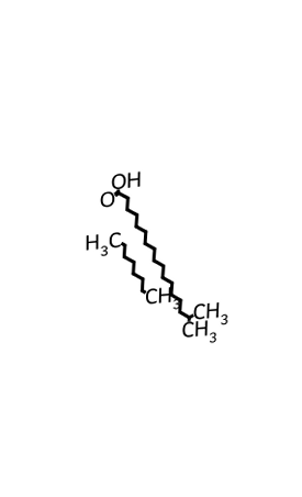 CC(C)CCCCCCCCCCCCCCC(=O)O.CCCCCCCC